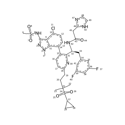 Cn1nc(NS(C)(=O)=O)c2c(Cl)ccc(-c3ccc(CCC(C)(C)S(=O)(=O)C4CC4)nc3[C@H](Cc3cc(F)cc(F)c3)NC(=O)Cc3ncc[nH]3)c21